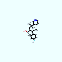 CC(O)C(CC(c1cccnc1)(C(C)C)C(C)C)C(C)c1ccc(F)cc1